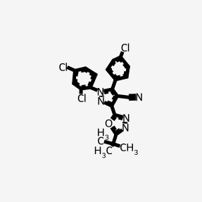 CC(C)(C)c1nnc(-c2nn(-c3ccc(Cl)cc3Cl)c(-c3ccc(Cl)cc3)c2C#N)o1